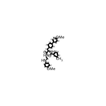 COc1ccc(NCCNC(=O)C(Cc2ccc(-c3ccc(OC)nc3)cc2)NC(=O)c2cccc(C)c2)cc1